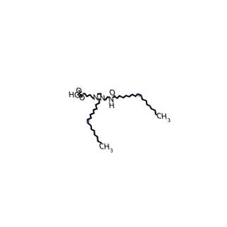 CCCCCCCC/C=C\CCCCCCCC(=O)NCCN1CCN(CCCCS(=O)(=O)O)C1CCCCCCC/C=C\CCCCCCCC